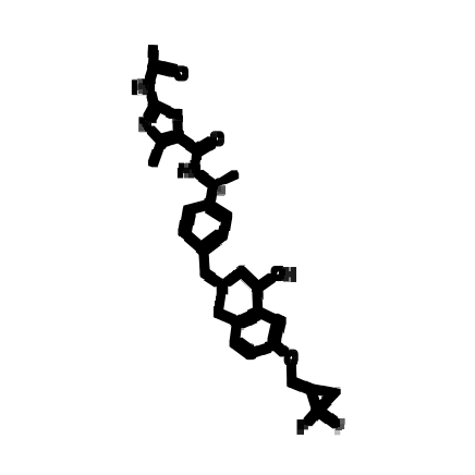 CC(=O)Nc1nc(C)c(C(=O)N[C@@H](C)c2ccc(CN3Cc4ccc(OCC5CC5(F)F)cc4C(O)C3)cc2)s1